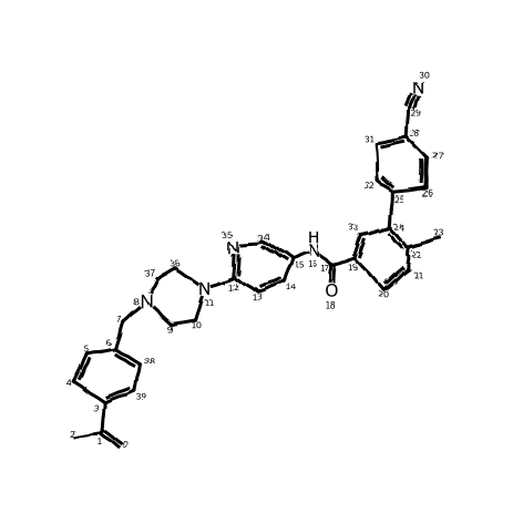 C=C(C)c1ccc(CN2CCN(c3ccc(NC(=O)c4ccc(C)c(-c5ccc(C#N)cc5)c4)cn3)CC2)cc1